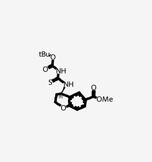 COC(=O)c1ccc2c(c1)[C@H](NC(=S)NC(=O)OC(C)(C)C)CCO2